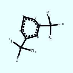 FC(F)(Cl)c1cccc(C(F)(Cl)Cl)c1